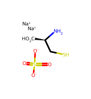 N[C@@H](CS)C(=O)O.O=S(=O)([O-])[O-].[Na+].[Na+]